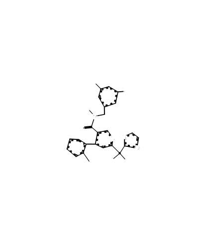 Cc1ccccc1-c1cc(C(C)(S)c2ncc[nH]2)ncc1C(=O)N(C)Cc1cc(C(F)(F)F)cc(C(F)(F)F)c1